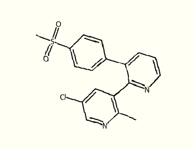 Cc1ncc(Cl)cc1-c1ncccc1-c1ccc(S(C)(=O)=O)cc1